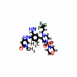 Cc1cc(Nc2ccc(=O)n(C)c2)c(C=N)cc1C1CN(S(=O)(=O)N2CCOCC2)CCN1CCC(F)(F)F